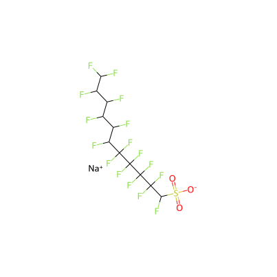 O=S(=O)([O-])C(F)C(F)(F)C(F)(F)C(F)(F)C(F)(F)C(F)C(F)C(F)C(F)C(F)C(F)F.[Na+]